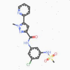 Cn1nc(C(=O)Nc2cc(Cl)cc(NS(C)(=O)=O)c2)cc1-c1ccccn1